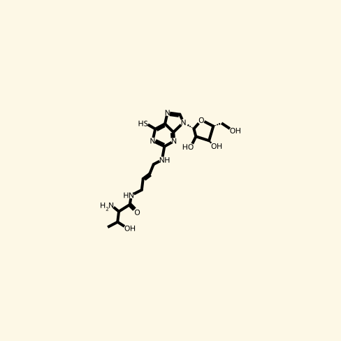 CC(O)C(N)C(=O)NC/C=C/CNc1nc(S)c2ncn([C@@H]3O[C@H](CO)[C@H](O)C3O)c2n1